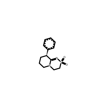 O=S1(=O)CCN2CCC[C@@H](c3cc[c]cc3)C2=N1